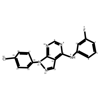 Fc1cccc(Nc2ncnc3c2cnn3-c2ccc(Cl)cc2)c1